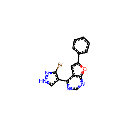 Brc1n[nH]cc1-c1ncnc2oc(-c3ccccc3)cc12